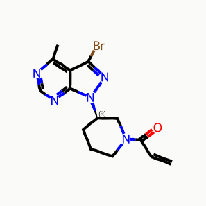 C=CC(=O)N1CCC[C@@H](n2nc(Br)c3c(C)ncnc32)C1